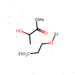 CCOCCC(=O)OCC.COC(=O)C(C)O